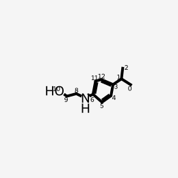 CC(C)c1ccc(NCCO)cc1